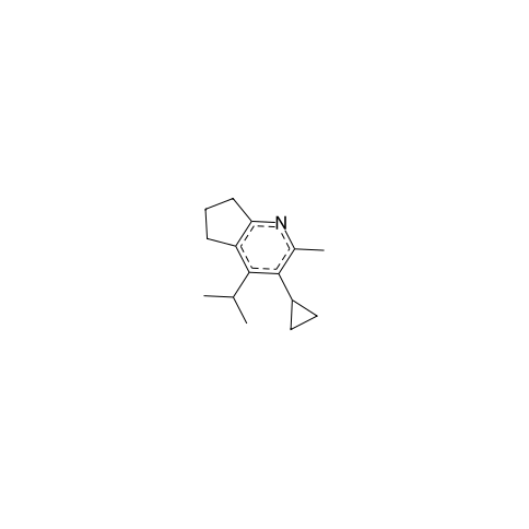 Cc1nc2c(c(C(C)C)c1C1CC1)CCC2